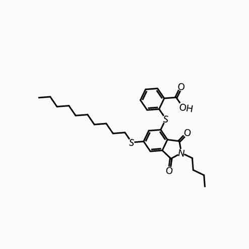 CCCCCCCCCCSc1cc(Sc2ccccc2C(=O)O)c2c(c1)C(=O)N(CCCC)C2=O